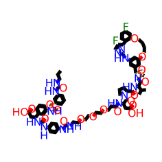 CCCNC(=O)Nc1cccc(S(=O)(=O)Nc2cccc(C(CC(=O)O)NC(=O)Nc3ccc(NC(=O)NCCOCCOCCOCCC(=O)NC(CC(=O)O)C(=O)N4CCCC4C(=O)NC(C(=O)N=S(C)(=O)Cc4cc5cc(c4)OCCCCOc4cc(F)ccc4-c4nc(ncc4F)N5)C(C)C)cc3)c2)c1